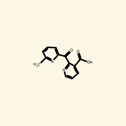 Cc1cccc(C(=O)c2ncccc2C(=O)O)n1